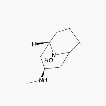 CN[C@@H]1CC2CCC[C@@H](C1)N2O